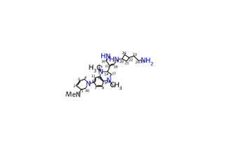 CNC1C=CCN(c2ccc3c(c2)N(C)C(/C(C=N)=C/NC2CC(CCN)C2)CN3C)C1